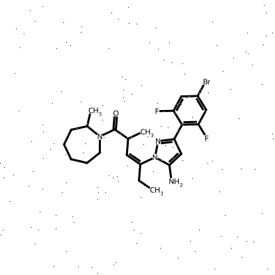 CC/C(=C/C(C)C(=O)N1CCCCCC1C)n1nc(-c2c(F)cc(Br)cc2F)cc1N